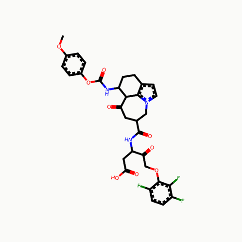 COc1ccc(OC(=O)NC2CCc3ccn4c3C2C(=O)CC(C(=O)NC(CC(=O)O)C(=O)COc2c(F)ccc(F)c2F)C4)cc1